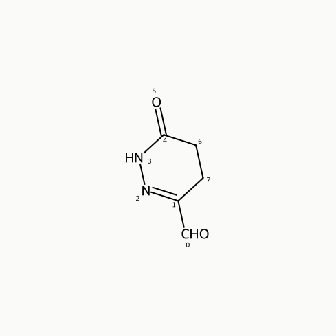 O=CC1=NNC(=O)CC1